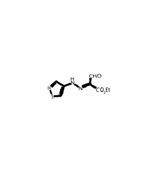 CCOC(=O)/C(C=O)=N/Nc1cnsc1